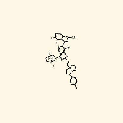 Oc1cc(-c2ncc3c(N4C[C@H]5CC[C@@H](C4)N5)nc(OC[C@@]45CCCN4[C@@H](c4ccc(F)cc4)CC5)nc3c2F)c2c(F)c(F)ccc2c1